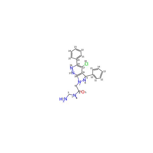 CN(CN)C(=O)Cn1nc(-c2ccccc2)c2c(Cl)c(-c3ccccc3)nnc21